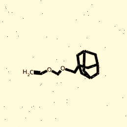 C=COCOCC12CC3CC(CC(C3)C1)C2